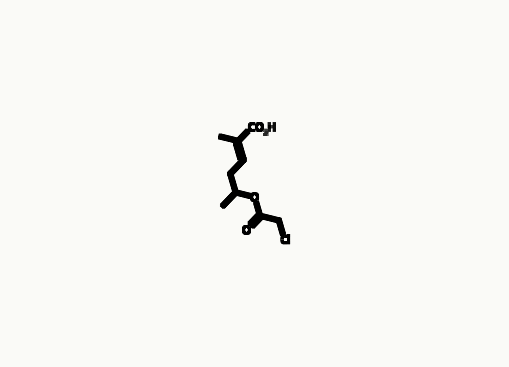 CC(=CCC(C)OC(=O)CCl)C(=O)O